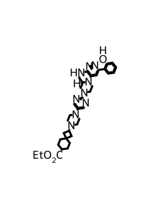 CCOC(=O)[C@H]1CCC2(CC1)C[C@H](N1CCN(c3cnc(N4CCN5c6cc(-c7ccccc7O)nnc6NC[C@H]5C4)nc3)CC1)C2